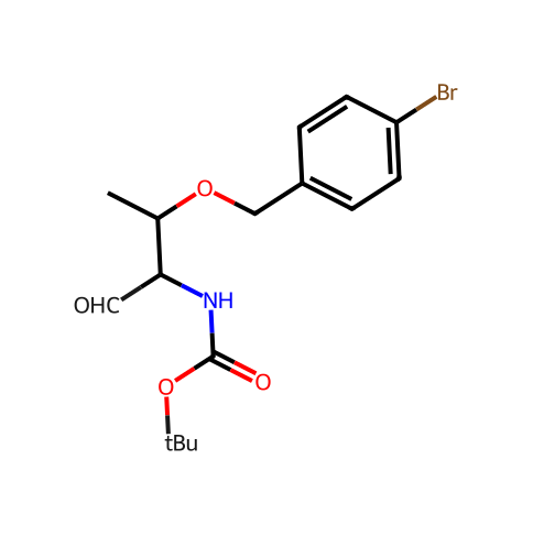 CC(OCc1ccc(Br)cc1)C(C=O)NC(=O)OC(C)(C)C